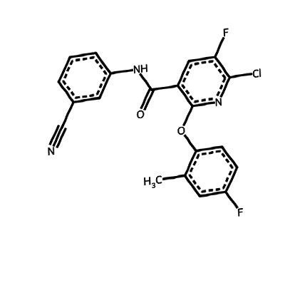 Cc1cc(F)ccc1Oc1nc(Cl)c(F)cc1C(=O)Nc1cccc(C#N)c1